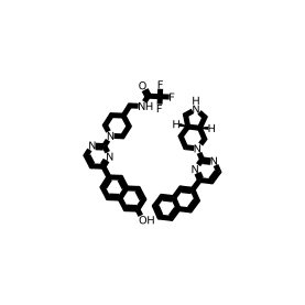 O=C(NCC1CCN(c2nccc(-c3ccc4cc(O)ccc4c3)n2)CC1)C(F)(F)F.c1ccc2cc(-c3ccnc(N4CC[C@@H]5CNC[C@@H]5C4)n3)ccc2c1